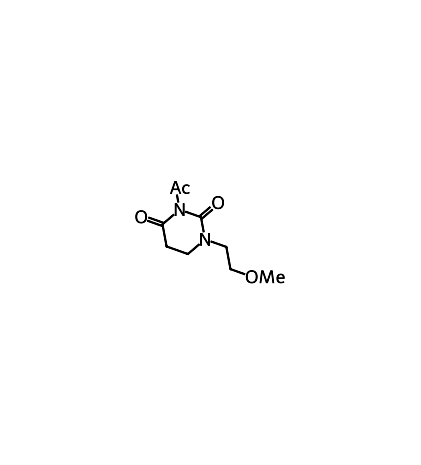 COCCN1CCC(=O)N(C(C)=O)C1=O